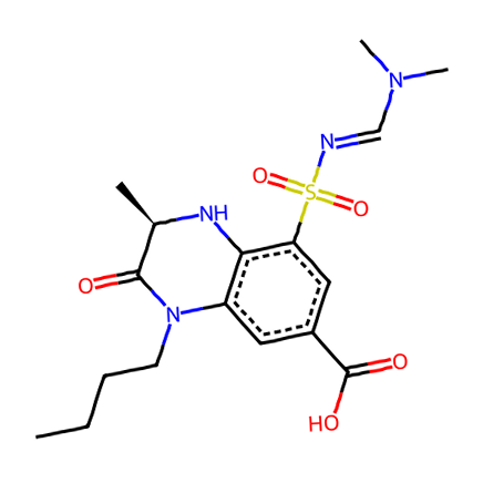 CCCCN1C(=O)[C@@H](C)Nc2c1cc(C(=O)O)cc2S(=O)(=O)/N=C/N(C)C